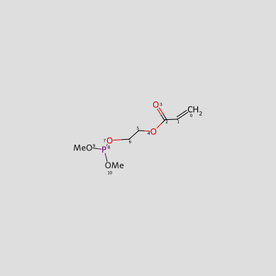 C=CC(=O)OCCOP(OC)OC